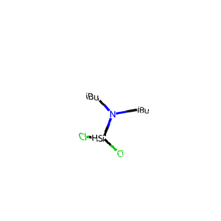 CCC(C)N(C(C)CC)[SiH](Cl)Cl